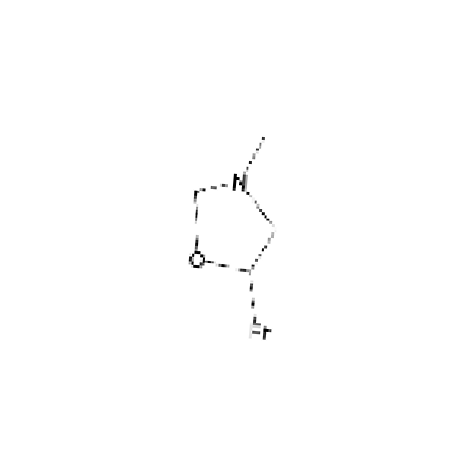 CCC1CN(C)CO1